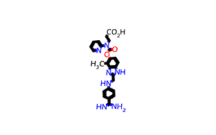 Cc1c(OC(=O)N(CCC(=O)O)c2ccccn2)ccc2[nH]c(CNc3ccc(C(=N)N)cc3)nc12